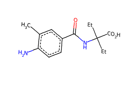 CCC(CC)(NC(=O)c1ccc(N)c(C)c1)C(=O)O